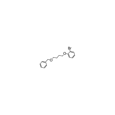 Brc1ccccc1OCCCCOCc1ccccc1